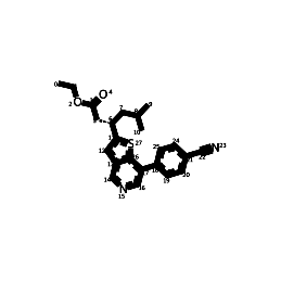 CCOC(=O)C[C@H](CC(C)C)c1cc2cncc(-c3ccc(C#N)cc3)c2s1